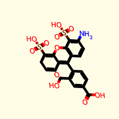 Nc1ccc2c(c1S(=O)(=O)O)OC1=C(S(=O)(=O)O)CC=CC1=C2c1ccc(C(=O)O)cc1C(=O)O